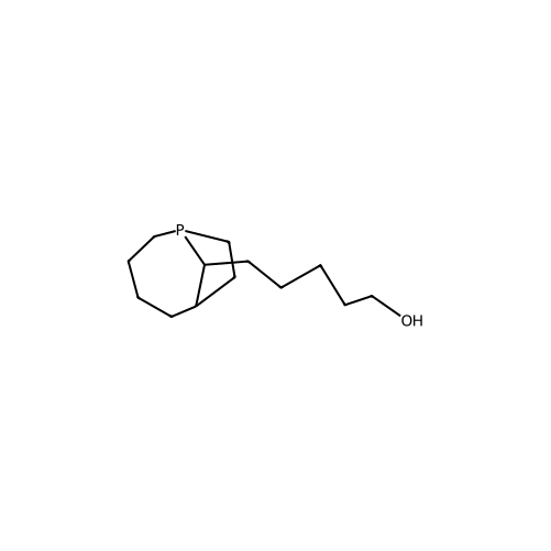 OCCCCCC1C2CCCCP1CC2